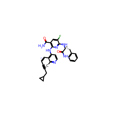 Cc1nccc(Nc2nc(N[C@H](Cc3ccccc3)C(N)=O)c(F)cc2C(N)=O)c1/C=C\C#CCC1CC1